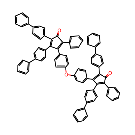 O=C1C(c2ccc(-c3ccccc3)cc2)=C(c2ccc(Oc3ccc(C4=C(c5ccccc5)C(=O)C(c5ccc(-c6ccccc6)cc5)=C4c4ccc(-c5ccccc5)cc4)cc3)cc2)C(c2ccc(-c3ccccc3)cc2)=C1c1ccccc1